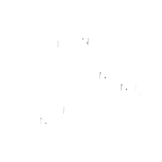 NC1=NC(c2cccc(-c3cccnc3F)c2)(c2ccnc(F)c2)c2ccccc21